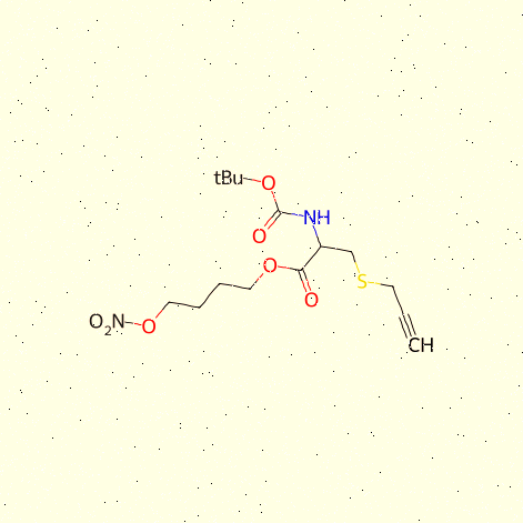 C#CCSCC(NC(=O)OC(C)(C)C)C(=O)OCCCCO[N+](=O)[O-]